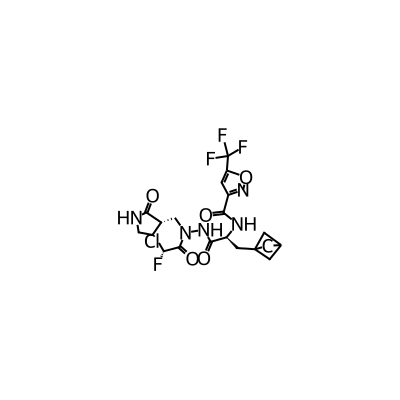 O=C(N[C@@H](CC12CC(C1)C2)C(=O)NN(C[C@@H]1CCNC1=O)C(=O)[C@H](F)Cl)c1cc(C(F)(F)F)on1